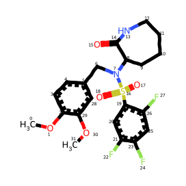 COc1ccc(CN(C2CCCCNC2=O)S(=O)(=O)c2cc(F)c(F)cc2F)cc1OC